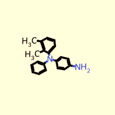 Cc1cccc(N(c2ccccc2)c2ccc(N)cc2)c1C